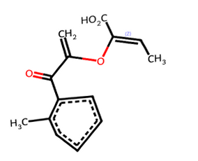 C=C(O/C(=C\C)C(=O)O)C(=O)c1ccccc1C